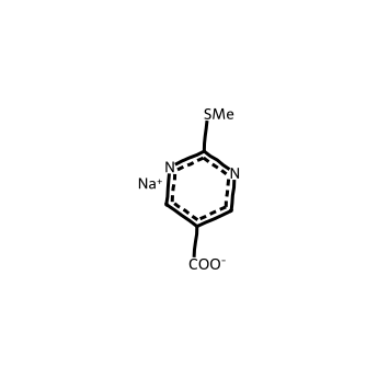 CSc1ncc(C(=O)[O-])cn1.[Na+]